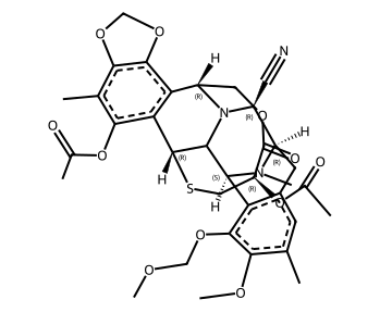 COCOc1c(OC)c(C)cc2c1[C@H]1C3[C@@H]4SC[C@H](OC(C)=O)C(=O)OC[C@@H](c5c6c(c(C)c(OC(C)=O)c54)OCO6)N3[C@@H](C#N)[C@@H](C2)N1C